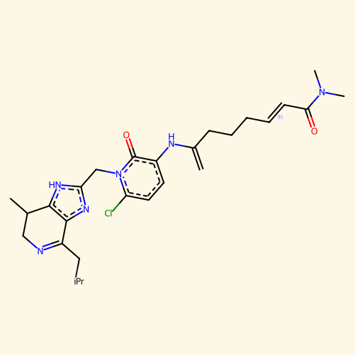 C=C(CCC/C=C/C(=O)N(C)C)Nc1ccc(Cl)n(Cc2nc3c([nH]2)C(C)CN=C3CC(C)C)c1=O